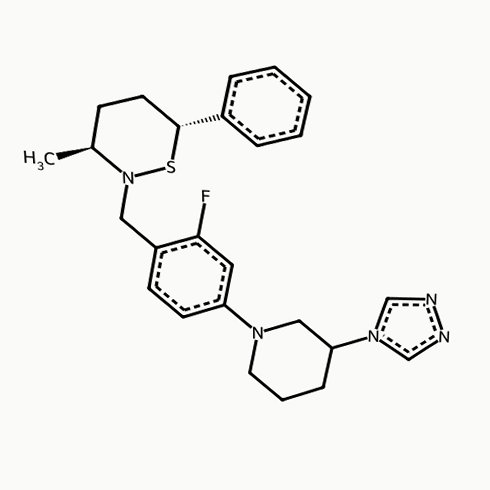 C[C@H]1CC[C@H](c2ccccc2)SN1Cc1ccc(N2CCCC(n3cnnc3)C2)cc1F